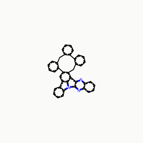 c1ccc2c(c1)Cc1ccccc1-c1cc3c4ccccc4n4c5nc6ccccc6nc5c(c1Cc1ccccc1-2)c34